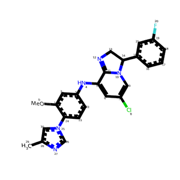 COc1cc(NC2=CC(Cl)=CN3C2=NCC3c2cccc(F)c2)ccc1-n1cnc(C)c1